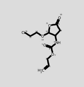 C=CCOC(=O)NC1CC(=O)OC1OCCCl